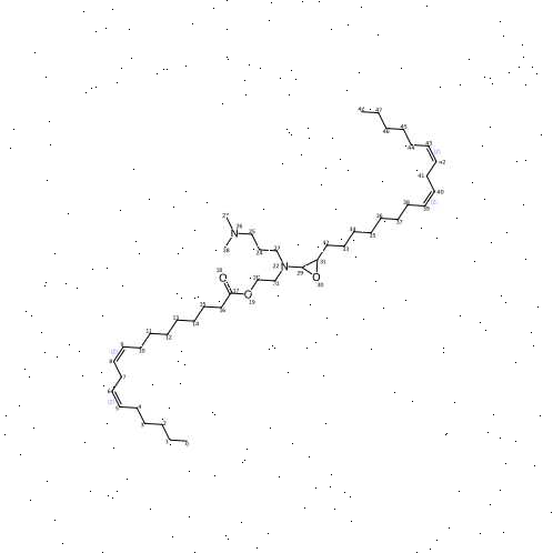 CCCCC/C=C\C/C=C\CCCCCCCC(=O)OCCN(CCCN(C)C)C1OC1CCCCCCC/C=C\C/C=C\CCCCC